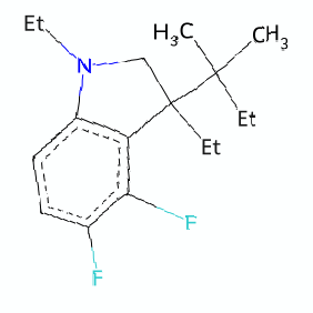 CCN1CC(CC)(C(C)(C)CC)c2c1ccc(F)c2F